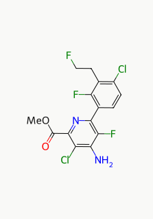 COC(=O)c1nc(-c2ccc(Cl)c(CCF)c2F)c(F)c(N)c1Cl